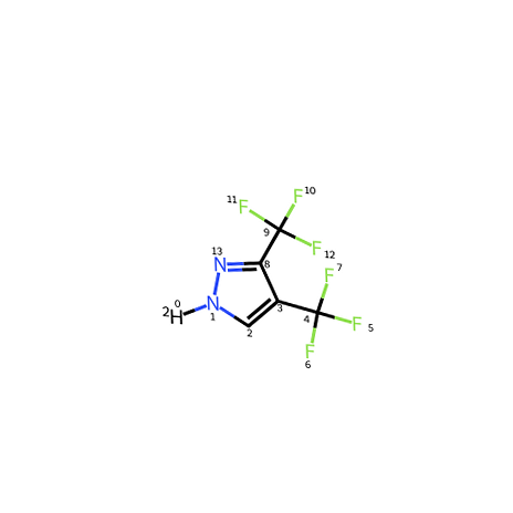 [2H]n1cc(C(F)(F)F)c(C(F)(F)F)n1